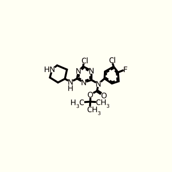 CC(C)(C)OC(=O)N(c1ccc(F)c(Cl)c1)c1nc(Cl)nc(NC2CCNCC2)n1